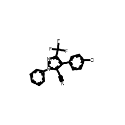 N#Cc1c(-c2ccc(Cl)cc2)c(C(F)(F)F)nn1-c1ccccc1